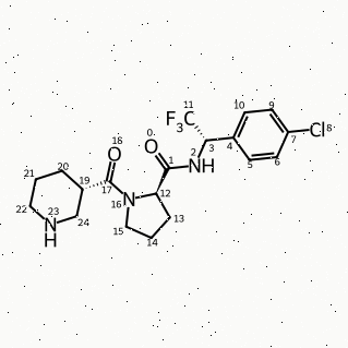 O=C(N[C@@H](c1ccc(Cl)cc1)C(F)(F)F)[C@H]1CCCN1C(=O)[C@H]1CCCNC1